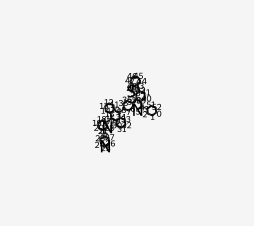 c1ccc(-c2nc3cc(-c4c5ccccc5c(-c5cccc(-c6ccncc6)n5)c5ccccc45)ccc3c3c2ccc2c4ccccc4sc23)cc1